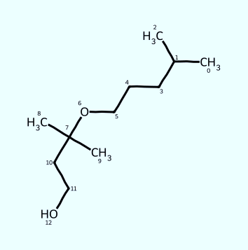 CC(C)CCCOC(C)(C)CCO